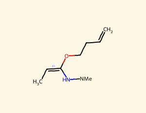 C=CCCO/C(=C/C)NNC